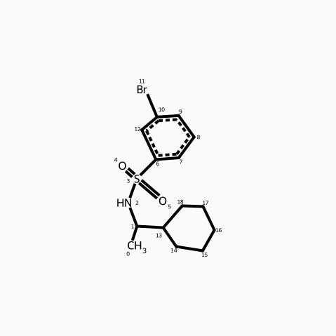 CC(NS(=O)(=O)c1cccc(Br)c1)C1CCCCC1